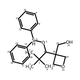 CC(C)(C)C(O[SiH](c1ccccc1)c1ccccc1)C1(CO)COC1